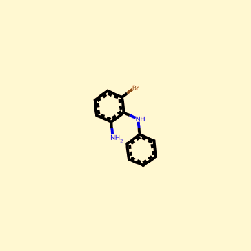 Nc1cccc(Br)c1Nc1ccccc1